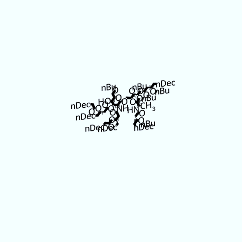 CCCCCCCCCCCC(=O)O[C@H](CCCCCCCCCCC)CC(=O)N[C@H]1C(OC(=O)C[C@@H](CCCCCCCCCCC)OC(=O)CCCCCCCCCCC)[C@H](O)C(COCCCC)O[C@H]1OCC(O[C@H](OCCCC)[C@H](C)NC(=O)C[C@@H](CCCCCCCCCCC)OCCCC)[C@H](COC(=O)C[C@@H](CCCCCCCCCCC)OCCCC)OCCCC